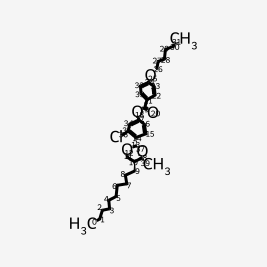 CCCCCCCCCC[C@H]1CO[C@H](c2ccc(OC(=O)c3ccc(OCCCCCC)cc3)cc2Cl)O[C@@H]1C